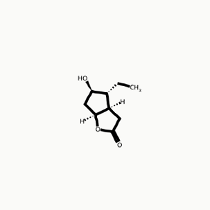 CC[C@@H]1[C@H]2CC(=O)O[C@H]2C[C@H]1O